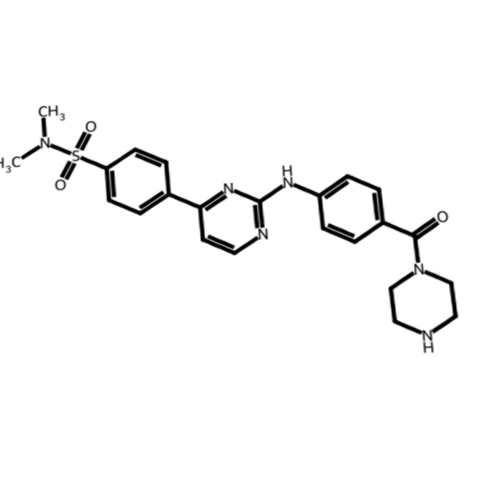 CN(C)S(=O)(=O)c1ccc(-c2ccnc(Nc3ccc(C(=O)N4CCNCC4)cc3)n2)cc1